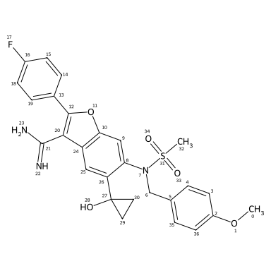 COc1ccc(CN(c2cc3oc(-c4ccc(F)cc4)c(C(=N)N)c3cc2C2(O)CC2)S(C)(=O)=O)cc1